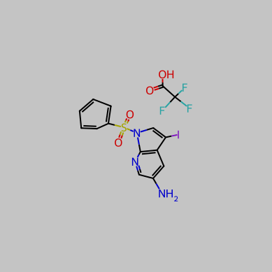 Nc1cnc2c(c1)c(I)cn2S(=O)(=O)c1ccccc1.O=C(O)C(F)(F)F